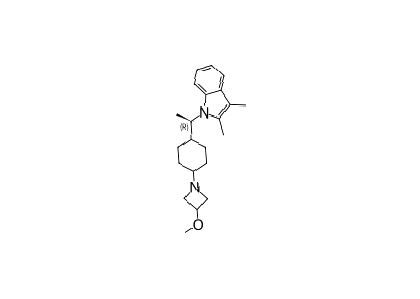 COC1CN(C2CCC([C@@H](C)n3c(C)c(C)c4ccccc43)CC2)C1